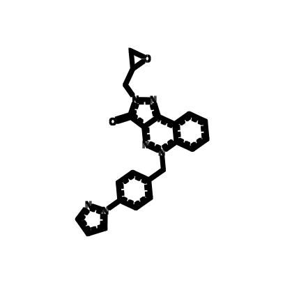 O=c1c2nn(Cc3ccc(-n4cccn4)cc3)c3ccccc3c-2nn1CC1CO1